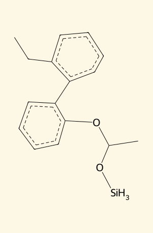 CCc1ccccc1-c1ccccc1OC(C)O[SiH3]